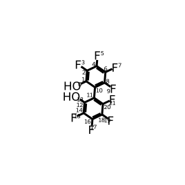 Oc1c(F)c(F)c(F)c(F)c1-c1c(O)c(F)c(F)c(F)c1F